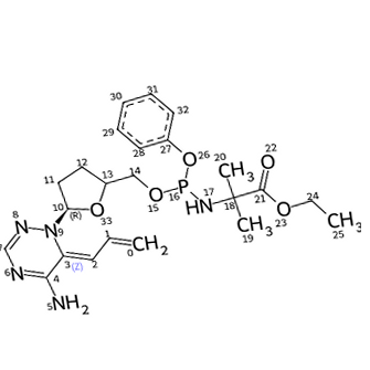 C=C/C=C1/C(N)=NC=NN1[C@H]1CCC(COP(NC(C)(C)C(=O)OCC)Oc2ccccc2)O1